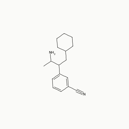 CC(N)C(CC1CCCCC1)c1cccc(C#N)c1